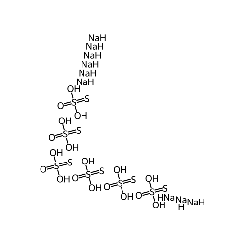 O=S(O)(O)=S.O=S(O)(O)=S.O=S(O)(O)=S.O=S(O)(O)=S.O=S(O)(O)=S.O=S(O)(O)=S.[NaH].[NaH].[NaH].[NaH].[NaH].[NaH].[NaH].[NaH].[NaH]